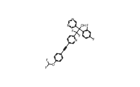 OC(c1cncnc1)(c1ccc(F)cc1F)C(F)(F)c1ccc(C#Cc2ccc(OC(F)F)cc2)cn1